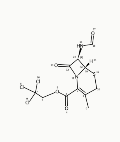 CC1=C(C(=O)OCC(Cl)(Cl)Cl)N2C(=O)[C@@H](NC=O)[C@@H]2SC1